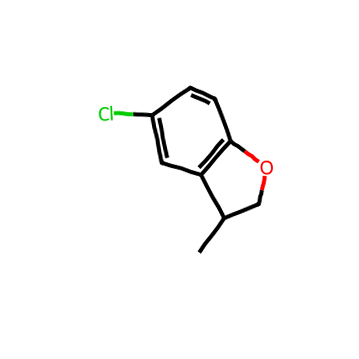 CC1COc2ccc(Cl)cc21